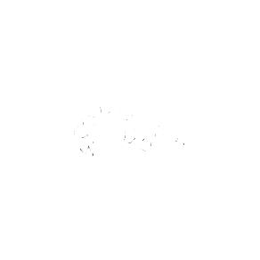 c1cc(-c2cccc(-c3cccc(-c4ccc5oc6ccncc6c5c4)c3)c2)cc(-c2cccc(-c3ccc4oc5ccncc5c4c3)c2)c1